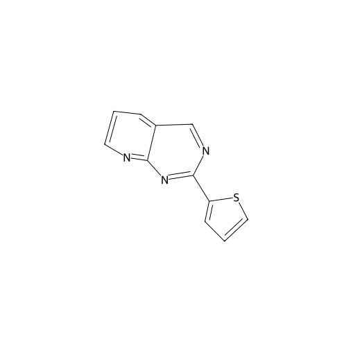 c1csc(-c2ncc3cccnc3n2)c1